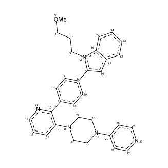 COCCCn1c(-c2ccc(-c3ncccc3N3CCN(c4ccncc4)CC3)cc2)cc2ccccc21